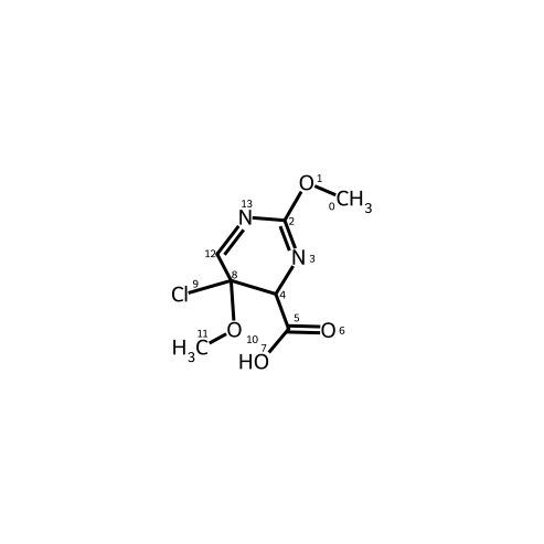 COC1=NC(C(=O)O)C(Cl)(OC)C=N1